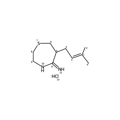 CC(C)=CCC1CSCCNC1=N.Cl